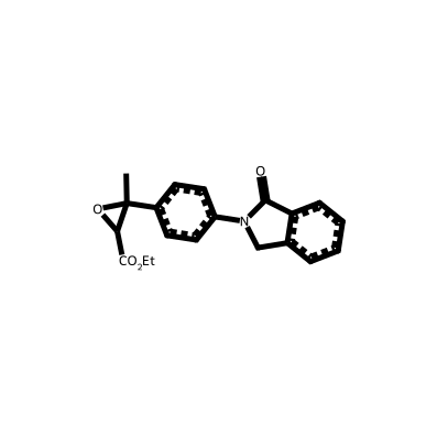 CCOC(=O)C1OC1(C)c1ccc(N2Cc3ccccc3C2=O)cc1